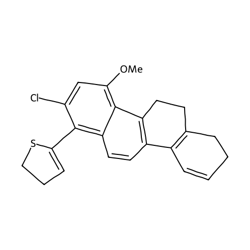 COc1cc(Cl)c(C2=CCCS2)c2ccc3c(c12)CCC1=C3C=CCC1